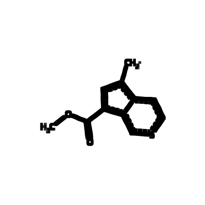 [CH2]c1cc(C(=O)OC)c2csccc1-2